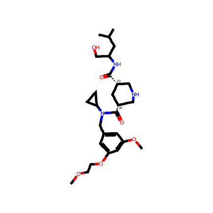 COCCOc1cc(CN(C(=O)[C@H]2CNC[C@@H](C(=O)NC(CO)CC(C)C)C2)C2CC2)cc(OC)c1